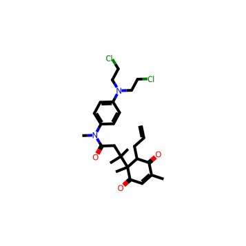 C=CCC1C(=O)C(C)=CC(=O)C1(C)C(C)(C)CC(=O)N(C)c1ccc(N(CCCl)CCCl)cc1